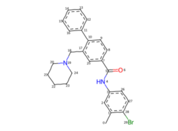 Cc1cc(NC(=O)c2ccc(-c3ccccc3)c(CN3CCCCC3)c2)ccc1Br